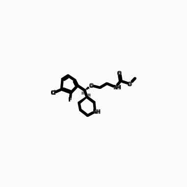 COC(=O)NCCO[C@@H](c1cccc(Cl)c1F)[C@@H]1CCCNC1